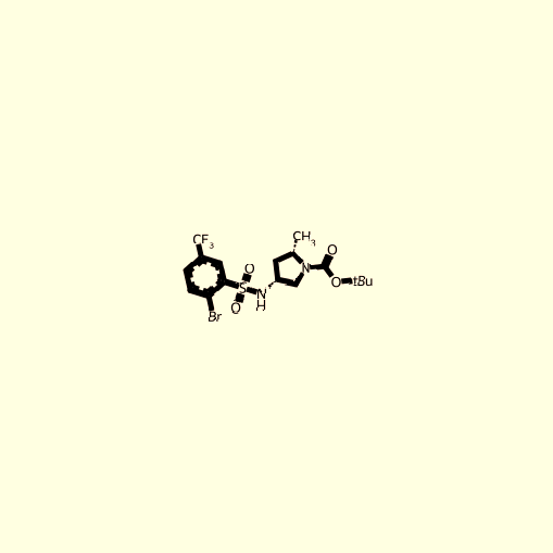 C[C@H]1C[C@@H](NS(=O)(=O)c2cc(C(F)(F)F)ccc2Br)CN1C(=O)OC(C)(C)C